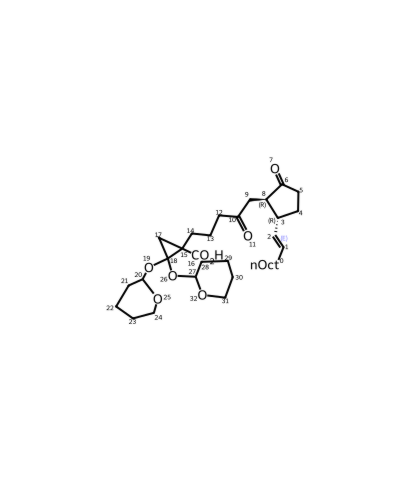 CCCCCCCC/C=C/[C@H]1CCC(=O)[C@@H]1CC(=O)CCCC1(C(=O)O)CC1(OC1CCCCO1)OC1CCCCO1